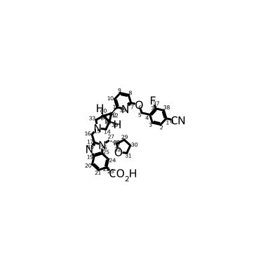 N#Cc1ccc(COc2cccc([C@H]3[C@@H]4CN(Cc5nc6ccc(C(=O)O)cc6n5C[C@@H]5CCCO5)C[C@@H]43)n2)c(F)c1